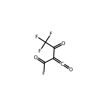 O=C=C(C(=O)F)C(=O)C(F)(F)F